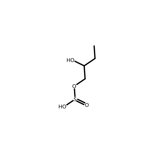 CCC(O)COS(=O)O